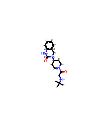 CC(C)(C)NCC(=O)N1CCC(N2Cc3ccccc3NC2=O)CC1